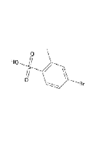 Cc1cc(Br)ccc1S(=O)(=O)O